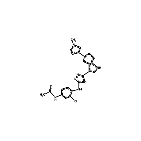 CC(=O)Nc1ccc(Nc2nnc(-c3c[nH]c4ncc(-c5cnn(C)c5)cc34)o2)c(Cl)c1